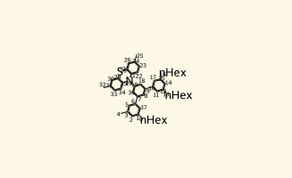 CCCCCCc1cc(C)cc(-c2cc(-c3cc(CCCCCC)cc(CCCCCC)c3)cc(N3c4ccc(C)cc4Sc4cc(C)ccc43)c2)c1